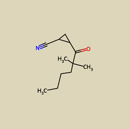 CCCCC(C)(C)C(=O)C1CC1C#N